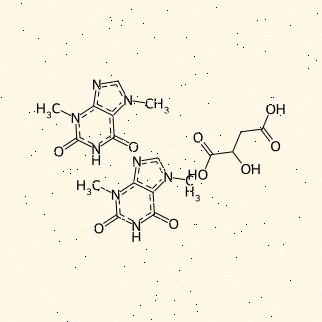 Cn1cnc2c1c(=O)[nH]c(=O)n2C.Cn1cnc2c1c(=O)[nH]c(=O)n2C.O=C(O)CC(O)C(=O)O